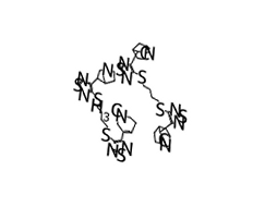 C(CCSc1nsnc1C1CN2CCC1CC2)CSc1nsnc1C1CN2CCC1CC2.CN1CCC=C(c2nsnc2SCCCCSc2nsnc2C2CN3CCC2C3)C1